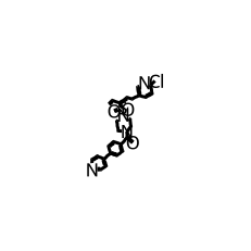 C=CC(=CCc1ccc(Cl)nc1)S(=O)(=O)N1CCN(C(=O)c2ccc(-c3ccncc3)cc2)CC1